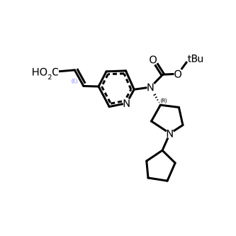 CC(C)(C)OC(=O)N(c1ccc(/C=C/C(=O)O)cn1)[C@@H]1CCN(C2CCCC2)C1